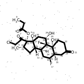 CCC(=O)O[C@@]1(C(=O)CCl)[C@@H](C)C[C@H]2[C@@H]3C[C@H](F)[C@@H]4CC(=O)CC[C@]4(C)[C@@]3(F)[C@@H](O)C[C@@]21C